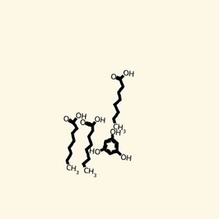 CCCCCCCC(=O)O.CCCCCCCC(=O)O.CCCCCCCC(=O)O.Oc1cc(O)cc(O)c1